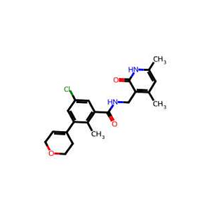 Cc1cc(C)c(CNC(=O)c2cc(Cl)cc(C3=CCOCC3)c2C)c(=O)[nH]1